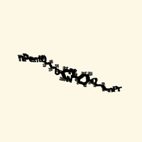 CCCC=CCOc1ccc(-c2ncc(OCCCCOCCCCC)cn2)cc1